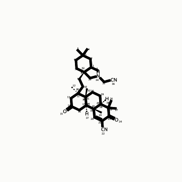 CC1CC(C)(C)CC[C@@]1(CC[C@]1(C)CC(=O)C[C@@H]2[C@@]3(C)C=C(C#N)C(=O)C(C)(C)[C@@H]3CC[C@]21C)CNCC#N